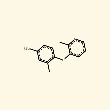 Cc1cc(C(C)(C)C)ccc1Oc1cccnc1C